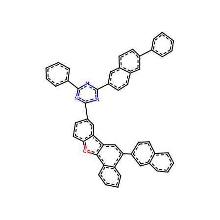 c1ccc(-c2ccc3cc(-c4nc(-c5ccccc5)nc(-c5ccc6oc7c8ccccc8c(-c8ccc9ccccc9c8)cc7c6c5)n4)ccc3c2)cc1